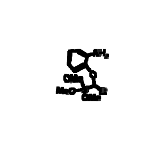 CCC(Oc1ccccc1N)[Si](OC)(OC)OC